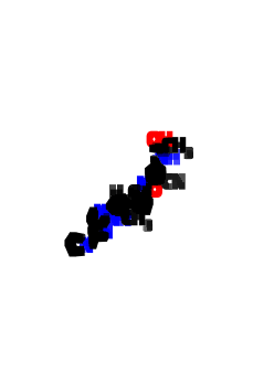 Cc1c(Nc2nccc3cc(CN4CCCCC4)cnc23)cccc1-c1cccc(-c2nc3cc(CN[C@@H](C)CO)cc(C#N)c3o2)c1C